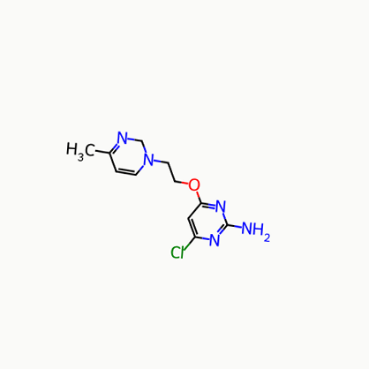 CC1=NCN(CCOc2cc(Cl)nc(N)n2)C=C1